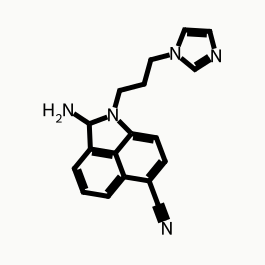 N#Cc1ccc2c3c(cccc13)C(N)N2CCCn1ccnc1